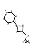 NSC1CN(C2CCOCC2)C1